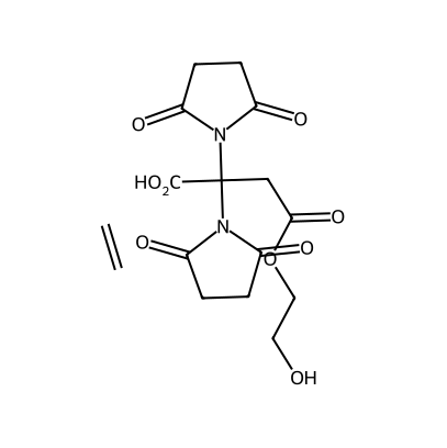 C=C.O=C(CC(C(=O)O)(N1C(=O)CCC1=O)N1C(=O)CCC1=O)OCCO